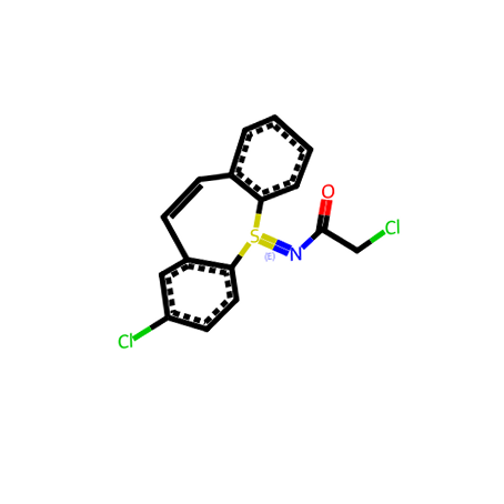 O=C(CCl)/N=S1\c2ccccc2C=Cc2cc(Cl)ccc21